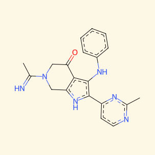 CC(=N)N1CC(=O)c2c([nH]c(-c3ccnc(C)n3)c2Nc2ccccc2)C1